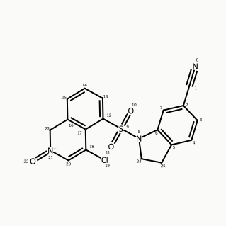 N#Cc1ccc2c(c1)N(S(=O)(=O)c1cccc3c1C(Cl)=C[N+](=O)C3)CC2